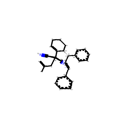 C=C(C)CC(C#N)(C#N)C1=CCCCC1[C@@H](/C=C/c1ccccc1)c1ccccc1